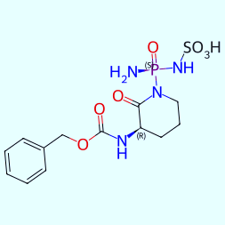 N[P@@](=O)(NS(=O)(=O)O)N1CCC[C@@H](NC(=O)OCc2ccccc2)C1=O